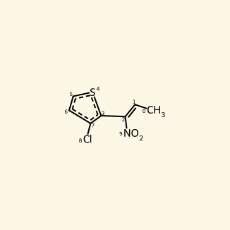 CC=C(c1sccc1Cl)[N+](=O)[O-]